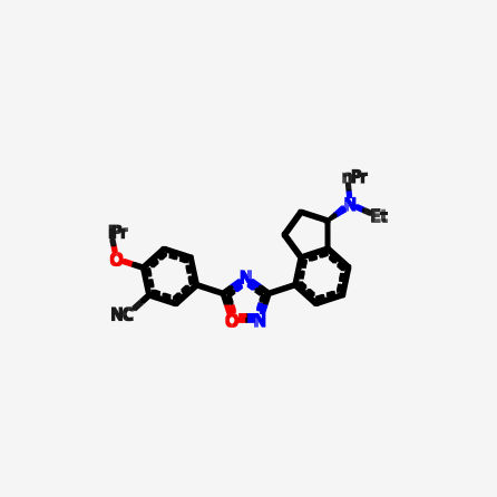 CCCN(CC)[C@@H]1CCc2c(-c3noc(-c4ccc(OC(C)C)c(C#N)c4)n3)cccc21